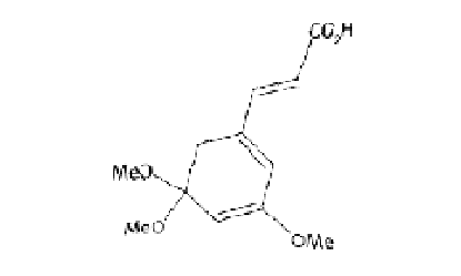 COC1=CC(OC)(OC)CC(C=CC(=O)O)=C1